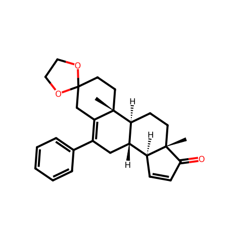 C[C@]12CCC3(CC1=C(c1ccccc1)C[C@@H]1[C@@H]2CC[C@]2(C)C(=O)C=C[C@@H]12)OCCO3